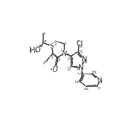 CCN(C(=O)C(C)SC(C)O)c1cn(-c2cccnc2)nc1Cl